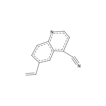 C=Cc1ccc2nccc(C#N)c2c1